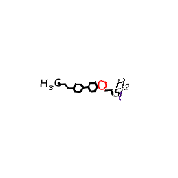 CCCCC1CCC(C2CCC(OCCC[SiH2]I)CC2)CC1